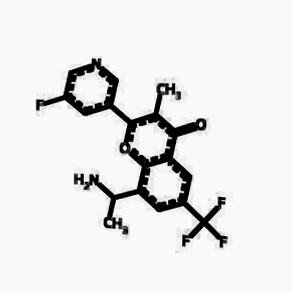 Cc1c(-c2cncc(F)c2)oc2c(C(C)N)cc(C(F)(F)F)cc2c1=O